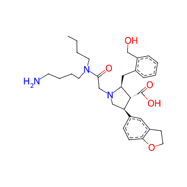 CCCCN(CCCCN)C(=O)CN1C[C@H](c2ccc3c(c2)CCO3)[C@@H](C(=O)O)[C@@H]1Cc1ccccc1CO